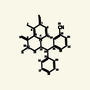 C=C1C=NN2C(=C1C)C(=C)N(C)CC2C(c1ccccc1)c1cccc(C#N)c1